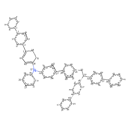 C1=C(c2ccc(-c3ccccc3)cc2)CCC(N(c2ccccc2)c2ccc(-c3ccc(CC(c4ccc(-c5ccccc5)cc4)c4ccc(-c5ccccc5)cc4)cc3)cc2)=C1